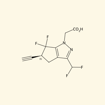 C#C[C@@H]1Cc2c(C(F)F)nn(CC(=O)O)c2C1(F)F